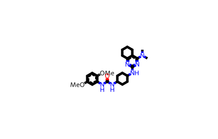 COc1ccc(OC)c(NC(=O)NC2CCC(Nc3nc4c(c(N(C)C)n3)CCCC4)CC2)c1